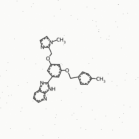 Cc1ccc(COc2cc(OCc3nccn3C)cc(-c3nc4cccnc4[nH]3)c2)cc1